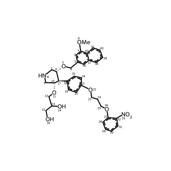 COc1cc(CO[C@H]2CNC[C@@H](OCC(O)CO)[C@@H]2c2ccc(OCCCOc3ccccc3[N+](=O)[O-])cc2)cc2ccccc12